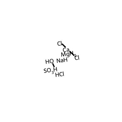 Cl.O=S(=O)(O)O.[Cl][Ca][Cl].[MgH2].[NaH]